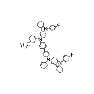 CC1C=CC=C(N(C2=CC3C4=C(CCC=C4)N(c4ccc(F)cc4)C3CC2)c2ccc(C3=CCC(N(C4C=c5c6c(n(C7=CCC(F)C#C7)c5=CC4)C=CCC6)C4C=CCCC4)C=C3)cc2)C1